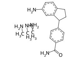 CN.CN.CN.NC(=O)c1ccc(C2CCc3ccc(N)cc32)cc1